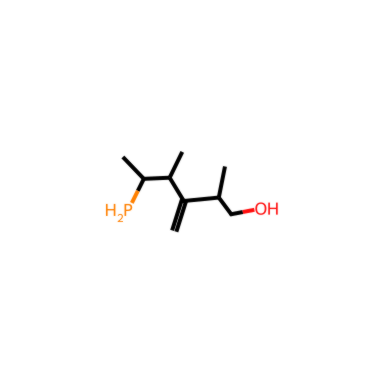 C=C(C(C)CO)C(C)C(C)P